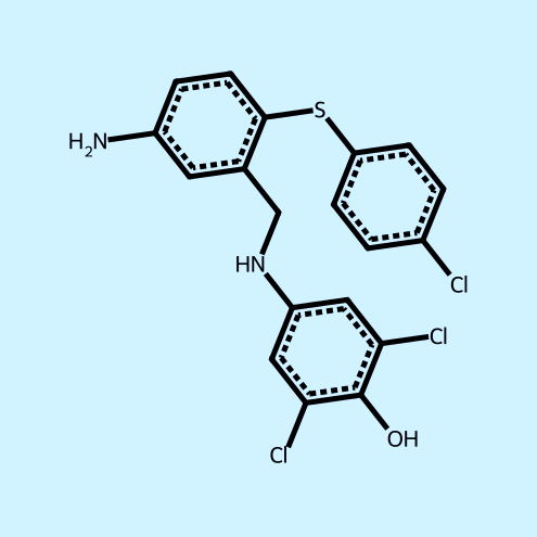 Nc1ccc(Sc2ccc(Cl)cc2)c(CNc2cc(Cl)c(O)c(Cl)c2)c1